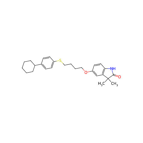 CC1(C)C(=O)Nc2ccc(OCCCCSc3ccc(C4CCCCC4)cc3)cc21